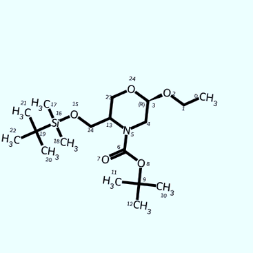 CCO[C@H]1CN(C(=O)OC(C)(C)C)C(CO[Si](C)(C)C(C)(C)C)CO1